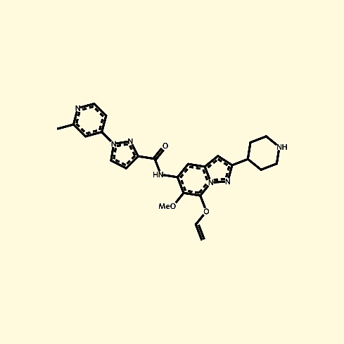 C=COc1c(OC)c(NC(=O)c2ccn(-c3ccnc(C)c3)n2)cc2cc(C3CCNCC3)nn12